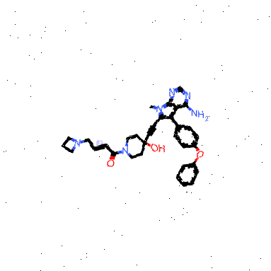 Cn1c(C#CC2(O)CCN(C(=O)/C=C/CN3CCC3)CC2)c(-c2ccc(Oc3ccccc3)cc2)c2c(N)ncnc21